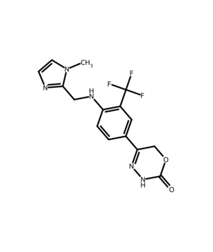 Cn1ccnc1CNc1ccc(C2=NNC(=O)OC2)cc1C(F)(F)F